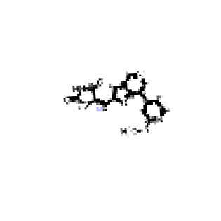 COc1cc(-c2cncc3cc(/C=C4/SC(=O)NC4=O)oc23)ccn1